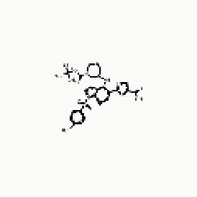 Cc1ccc(S(=O)(=O)n2ccc3c(N[C@@H]4CCCN(C(=O)OC(C)(C)C)C4)c(-c4ncc(C(=O)O)s4)cnc32)cc1